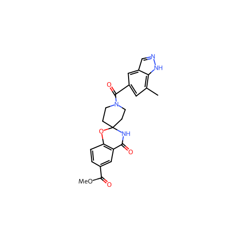 COC(=O)c1ccc2c(c1)C(=O)NC1(CCN(C(=O)c3cc(C)c4[nH]ncc4c3)CC1)O2